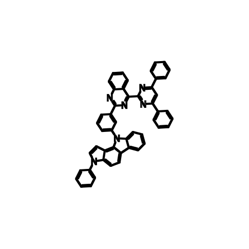 c1ccc(-c2cc(-c3ccccc3)nc(-c3nc(-c4cccc(-n5c6ccccc6c6ccc7c(ccn7-c7ccccc7)c65)c4)nc4ccccc34)n2)cc1